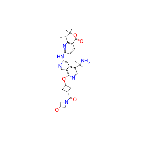 COC1CN(C(=O)[C@H]2C[C@H](Oc3ncc(C(C)(C)N)c4cc(Nc5ccc6c(n5)[C@@H](C)C(C)(C)OC6=O)ncc34)C2)C1